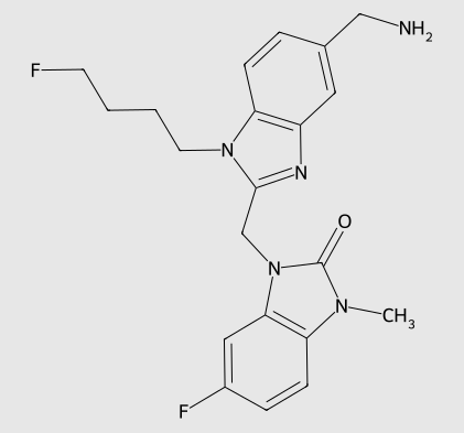 Cn1c(=O)n(Cc2nc3cc(CN)ccc3n2CCCCF)c2cc(F)ccc21